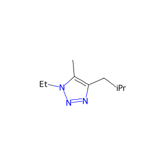 CCn1nnc(CC(C)C)c1C